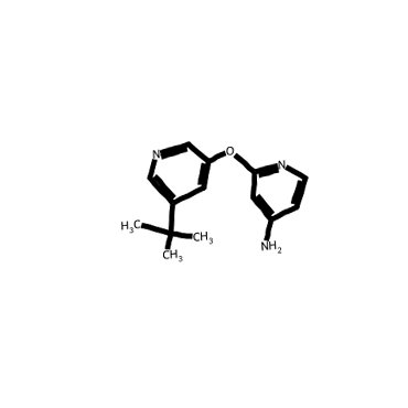 CC(C)(C)c1cncc(Oc2cc(N)ccn2)c1